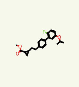 COC(=O)C1CC1CCc1ccc(-c2cc(OC(C)C)ccc2F)cc1